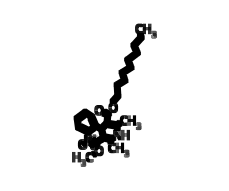 CCCCCCCCCCCOC(=O)C1=C(C)NC(C)=C(C(=O)OC)C1c1ccccc1[N+](=O)[O-]